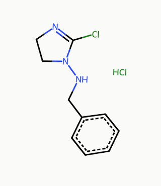 Cl.ClC1=NCCN1NCc1ccccc1